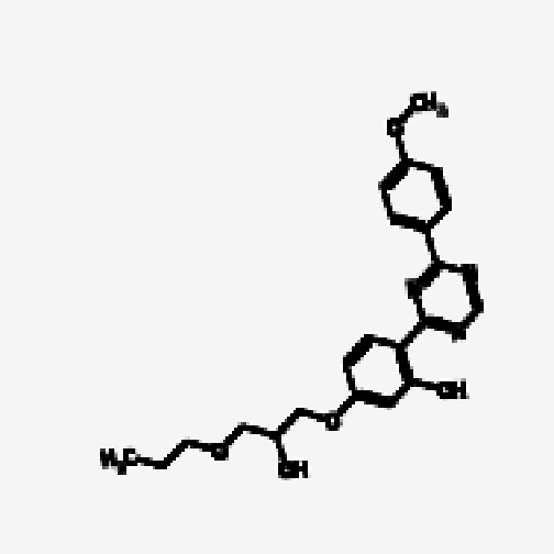 CCCOCC(O)COc1ccc(-c2ncnc(-c3ccc(OC)cc3)n2)c(O)c1